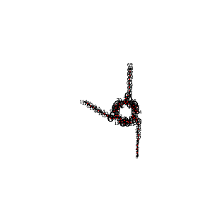 C#CC#CC#CC#CC#CC#CC#CC#CC#COC(=O)Cc1cc2c(C)c(c1)CN(C(=O)C=C)C1CCCCC1N(C(=O)C=C)Cc1cc(CC(=O)OCC#CC#CC#CC#CC#CC#CC#CC)cc(c1C)CN(C(=O)C=C)C1CCCCC1N(C(=O)C=C)Cc1cc(CC(=O)OC#CC#CC#CC#CC#CC#CC#CC#C)cc(c1C)CN(C(=O)C=C)C1CCCCC1N(C(=O)C=C)C2